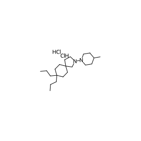 CCCC1(CCC)CCC2(CCN(N3CCC(C)CC3)C2)CC1.Cl.Cl